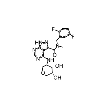 CN(Cc1cc(F)ccc1F)C(=O)c1n[nH]c2ncnc(N[C@@H]3COC[C@@H](O)[C@H]3O)c12